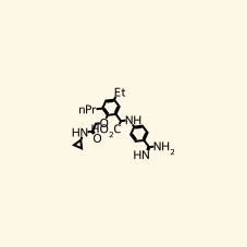 CCCc1cc(CC)cc(C(Nc2ccc(C(=N)N)cc2)C(=O)O)c1OCC(=O)NC1CC1